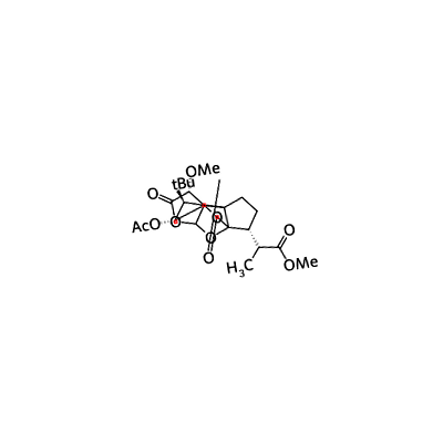 COC(=O)C(C)[C@H]1CCC23C4OC(=O)C12OC1OC(=O)[C@H](OC)C13[C@H](C(C)(C)C)[C@H]4OC(C)=O